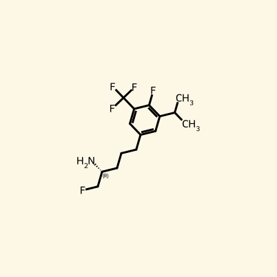 CC(C)c1cc(CCC[C@@H](N)CF)cc(C(F)(F)F)c1F